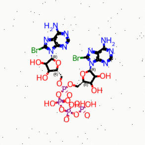 Nc1ncnc2c1nc(Br)n2[C@@H]1O[C@H](COP(=O)(OC[C@H]2O[C@@H](n3c(Br)nc4c(N)ncnc43)C(O)C2O)OP(=O)(O)OP(=O)(O)OP(=O)(O)O)C(O)C1O